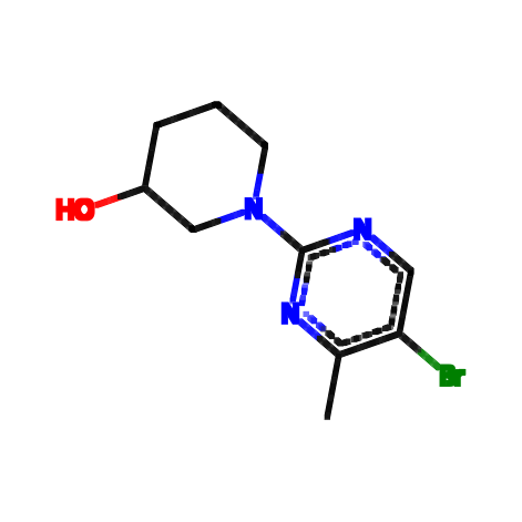 Cc1nc(N2CCCC(O)C2)ncc1Br